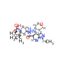 CCn1ncc2c(NC3CCOCC3)c(C(=O)NC3CCN(C(=O)O)C(C(C)(C)C)C3)cnc21